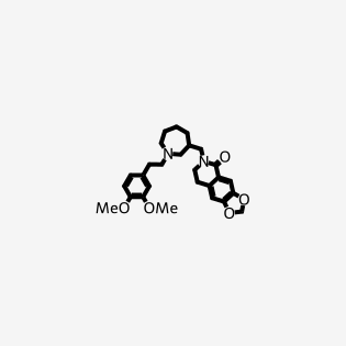 COc1ccc(CCN2CCCCC(CN3CCc4cc5c(cc4C3=O)OCO5)C2)cc1OC